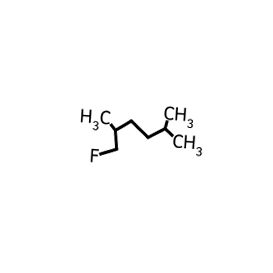 CC(C)CCC(C)CF